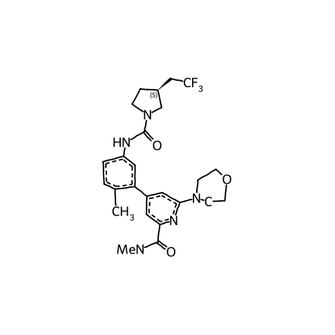 CNC(=O)c1cc(-c2cc(NC(=O)N3CC[C@@H](CC(F)(F)F)C3)ccc2C)cc(N2CCOCC2)n1